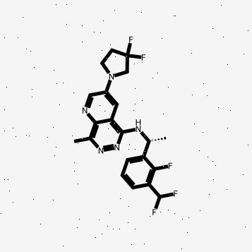 Cc1nnc(N[C@H](C)c2cccc(C(F)F)c2F)c2cc(N3CCC(F)(F)C3)cnc12